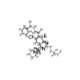 CCC(C)(C)CCc1nc(N2CC3CCC(C2)N3)c2cc(Cl)c(/C(C)=C/CC(C)c3ccccc3)c(F)c2n1